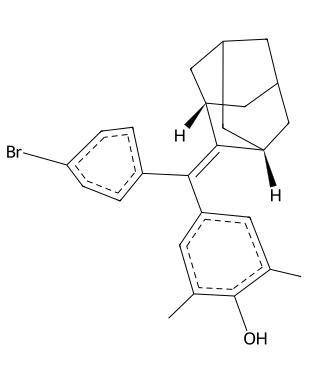 Cc1cc(C(c2ccc(Br)cc2)=C2[C@H]3CC4CC(C3)C[C@@H]2C4)cc(C)c1O